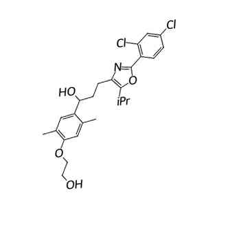 Cc1cc(C(O)CCc2nc(-c3ccc(Cl)cc3Cl)oc2C(C)C)c(C)cc1OCCO